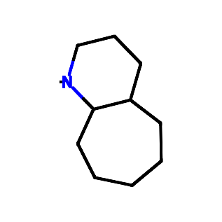 C1CCC2CCC[N]C2CC1